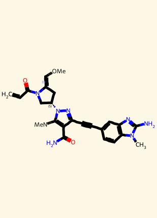 C=CC(=O)N1C[C@@H](n2nc(C#Cc3ccc4c(c3)nc(N)n4C)c(C(N)=O)c2NC)C/C1=C\OC